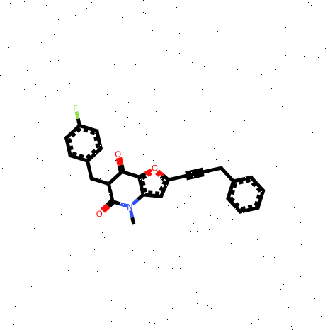 CN1C(=O)C(Cc2ccc(F)cc2)C(=O)c2oc(C#CCc3ccccc3)cc21